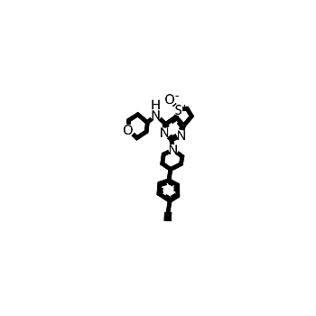 C#Cc1ccc(C2CCN(c3nc4c(c(NC5CCOCC5)n3)[S+]([O-])CC4)CC2)cc1